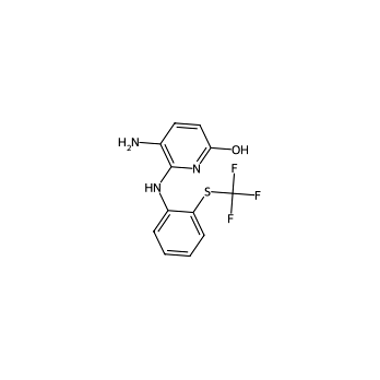 Nc1ccc(O)nc1Nc1ccccc1SC(F)(F)F